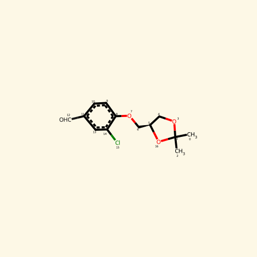 CC1(C)OC[C@H](COc2ccc(C=O)cc2Cl)O1